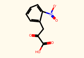 O=C(O)C(=O)Cc1ccccc1[N+](=O)[O-]